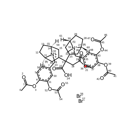 CC(=O)Oc1ccc(C[N+]2(C)[C@@H]3CC[C@H]2CC(C(CC(=O)O)(C(=O)O)C2C[C@H]4CC[C@@H](C2)[N+]4(C)Cc2ccc(OC(C)=O)c(OC(C)=O)c2)C3)cc1OC(C)=O.[Br-].[Br-]